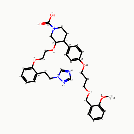 COc1ccccc1COCCCOc1ccc(C2CCN(C(=O)O)CC2OCCOc2ccccc2CCn2cncn2)cc1